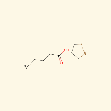 C1CSSC1.CCCCC(=O)O